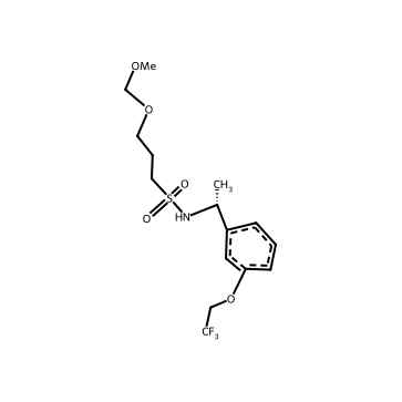 COCOCCCS(=O)(=O)N[C@H](C)c1cccc(OCC(F)(F)F)c1